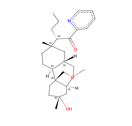 CCC[C@H](C(=O)c1ccccn1)[C@@]1(C)CC[C@H]2[C@@H](CC[C@H]3C[C@](C)(O)CC[C@@]32COC)C1